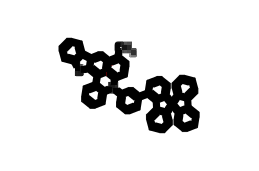 Cc1ccc(N(c2cccc(-c3cccc4c3-c3ccccc3C43c4ccccc4-c4ccccc43)c2)c2ccccc2-c2cccc3c2sc2ccccc23)cc1